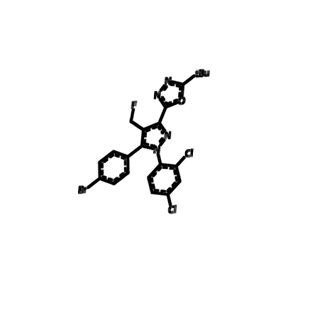 CC(C)(C)c1nnc(-c2nn(-c3ccc(Cl)cc3Cl)c(-c3ccc(Br)cc3)c2CF)o1